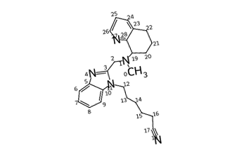 CN(Cc1nc2ccccc2n1CCCCCC#N)C1CCCc2cccnc21